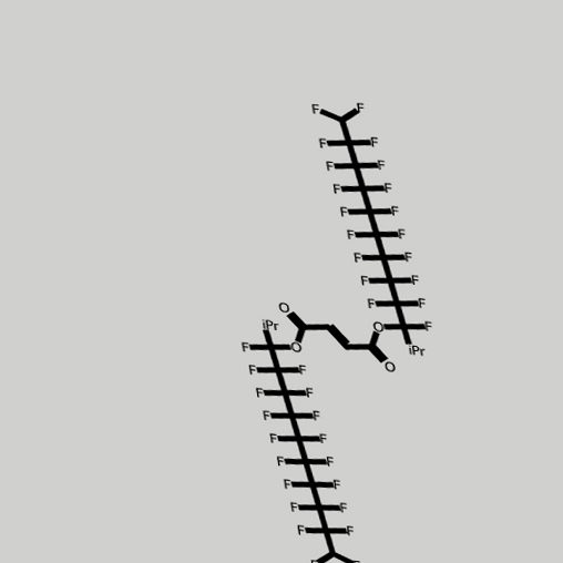 CC(C)C(F)(OC(=O)/C=C/C(=O)OC(F)(C(C)C)C(F)(F)C(F)(F)C(F)(F)C(F)(F)C(F)(F)C(F)(F)C(F)(F)C(F)(F)C(F)F)C(F)(F)C(F)(F)C(F)(F)C(F)(F)C(F)(F)C(F)(F)C(F)(F)C(F)(F)C(F)F